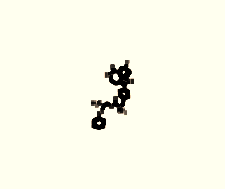 C[C@H](COC(=O)N(C)Cc1ccc(-c2[nH]c3cc(F)cc4c3c2CCNC4=O)cc1)SSc1ccccc1